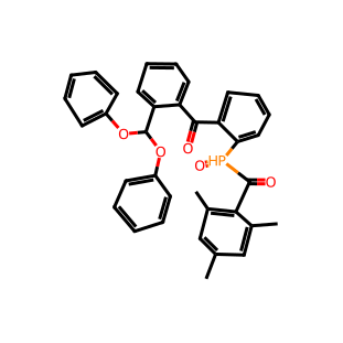 Cc1cc(C)c(C(=O)[PH](=O)c2ccccc2C(=O)c2ccccc2C(Oc2ccccc2)Oc2ccccc2)c(C)c1